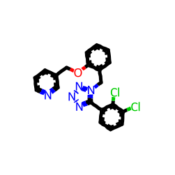 Clc1cccc(-c2nnnn2Cc2ccccc2OCc2cccnc2)c1Cl